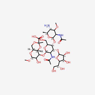 COC1C(NC(C)=O)[C@@H](O[C@H]2C(CO)O[C@H](OC3C(O)[C@H](OC)O[C@H]4COC(C)(C(=O)O)O[C@H]34)C(NC(C)=O)[C@H]2OC2OC([C@H](O)CO)[C@H](O)[C@@H]2O)O[C@@H](C)[C@@H]1N